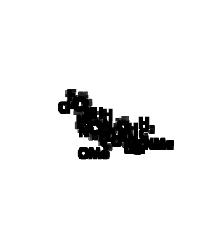 CN[C@@H](C)C(=O)N[C@H](C(=O)N1CCC[C@H]1C(=O)Nc1cc2c(Nc3ccc(F)c(Cl)c3)ncnc2cc1OCCOC)C(C)(C)C